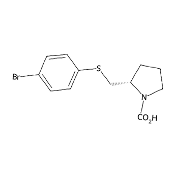 O=C(O)N1CCC[C@H]1CSc1ccc(Br)cc1